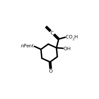 C=C=C(C(=O)O)C1(O)CC(=O)CC(CCCCC)C1